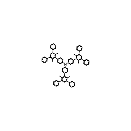 Cc1c(-c2ccccc2)cc(-c2ccccc2)c(C)c1-c1ccc(N(c2ccc(-c3c(C)c(-c4ccccc4)cc(-c4ccccc4)c3C)cc2)c2ccc(-c3c(C)c(-c4ccccc4)cc(-c4ccccc4)c3C)cc2)cc1